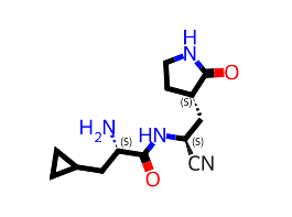 N#C[C@H](C[C@@H]1CCNC1=O)NC(=O)[C@@H](N)CC1CC1